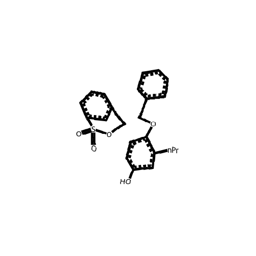 CCCc1cc(O)ccc1OCc1ccccc1.O=S1(=O)OCc2cccc1c2